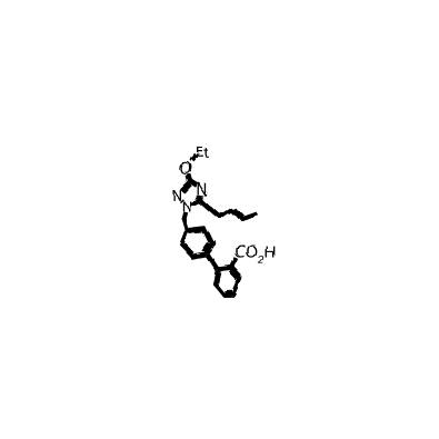 CC=CCc1nc(OCC)nn1Cc1ccc(-c2ccccc2C(=O)O)cc1